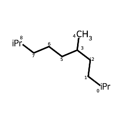 CC(C)C[CH]C(C)CCCC(C)C